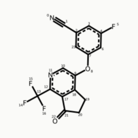 N#Cc1cc(F)cc(Oc2cnc(C(F)(F)F)c3c2CCC3=O)c1